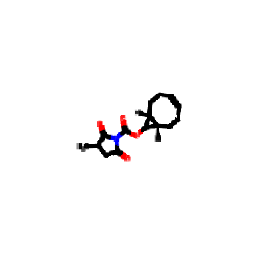 CC1CC(=O)N(C(=O)OC2[C@H]3CCC=CCC[C@@H]23)C1=O